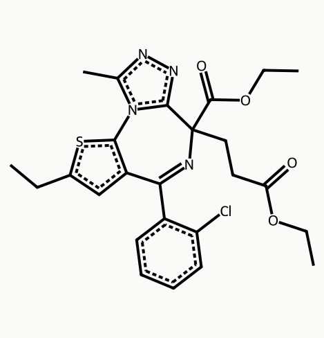 CCOC(=O)CCC1(C(=O)OCC)N=C(c2ccccc2Cl)c2cc(CC)sc2-n2c(C)nnc21